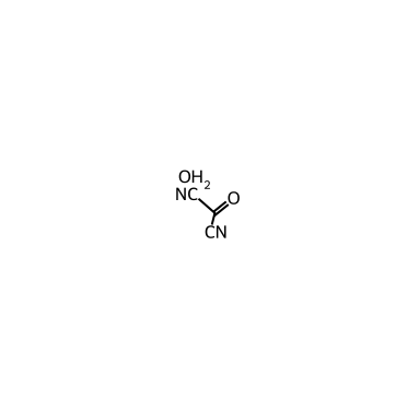 N#CC(=O)C#N.O